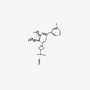 C#CC(C)(C)C1CN(C2=CC(c3cccc(C)c3)=C/C(=N/C)C2=N)C1